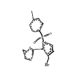 Cc1ccc(S(=O)(=O)n2ccc(Br)c2-c2nccs2)cc1